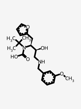 COc1cccc(CNC[C@H](O)[C@H](Cc2ccco2)N(C(=O)O)C(C)(C)C)c1